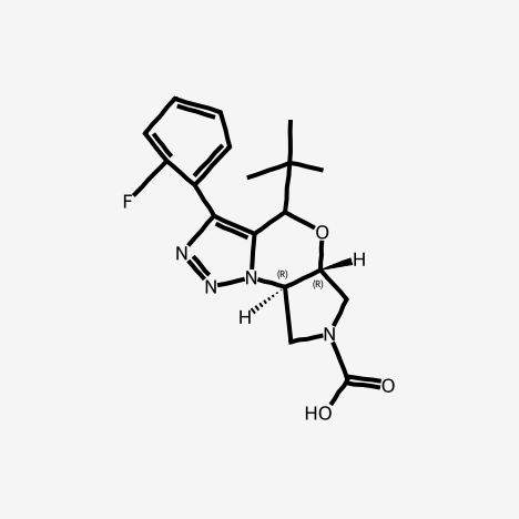 CC(C)(C)C1O[C@@H]2CN(C(=O)O)C[C@H]2n2nnc(-c3ccccc3F)c21